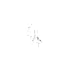 Nc1nc(Cl)c(F)cc1C(=O)NCc1ccc(Oc2ccccc2)cc1